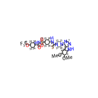 COc1cc2[nH]c3ncnc(N4CCN(C(=S)Nc5ccc(S(=O)(=O)NC(=O)c6ccc(OC(F)(F)F)cc6)cc5)CC4)c3c2cc1OC